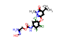 CC(C)c1cc(Oc2c(Cl)cc(NC(=O)OCC(N)=NO)c(F)c2Cl)nn(C)c1=O